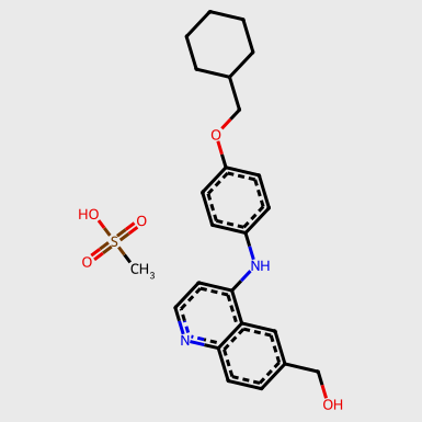 CS(=O)(=O)O.OCc1ccc2nccc(Nc3ccc(OCC4CCCCC4)cc3)c2c1